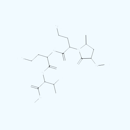 CCNC(=O)C(NC(=O)C(CCN)NC(=O)C(CCN)N1C(=O)C(NC=O)CC1C)C(C)O